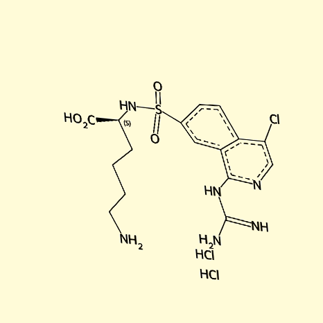 Cl.Cl.N=C(N)Nc1ncc(Cl)c2ccc(S(=O)(=O)N[C@@H](CCCCN)C(=O)O)cc12